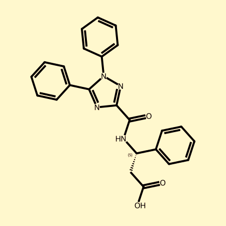 O=C(O)C[C@H](NC(=O)c1nc(-c2ccccc2)n(-c2ccccc2)n1)c1ccccc1